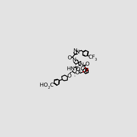 C[C@@H](OCC12CCC(CC1)OC2)[C@@H](COC1CCC(c2ccc(C(=O)O)cc2)CC1)NC(=O)[C@@H]1CN(C(=O)c2cnn(Cc3ccc(C(F)(F)F)cc3)c2)CC12CN(C(=O)C1(C(F)(F)F)CC1)C2